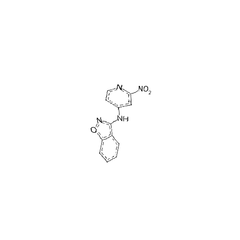 O=[N+]([O-])c1cc(Nc2noc3ccccc23)ccn1